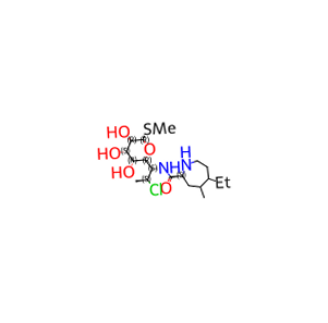 CCC1CCN[C@H](C(=O)N[C@@H]([C@H]2O[C@H](SC)[C@H](O)[C@@H](O)[C@H]2O)[C@H](C)Cl)CC1C